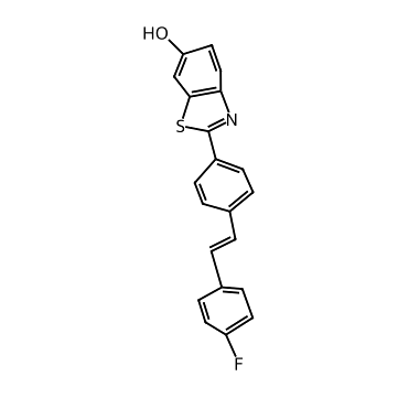 Oc1ccc2nc(-c3ccc(C=Cc4ccc(F)cc4)cc3)sc2c1